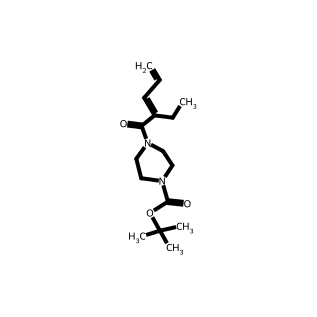 C=C/C=C(\CC)C(=O)N1CCN(C(=O)OC(C)(C)C)CC1